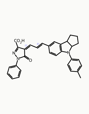 Cc1ccc(N2c3ccc(/C=C/C=C4\C(=O)N(c5ccccc5)N=C4C(=O)O)cc3C3CCCC32)cc1